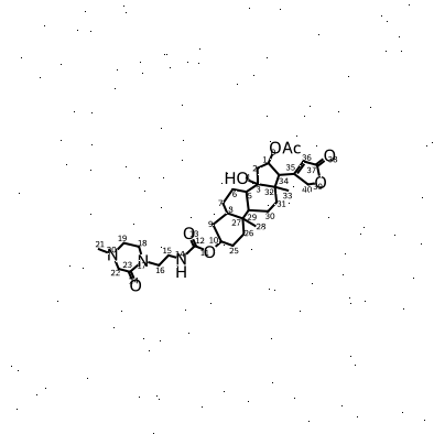 CC(=O)OC1CC2(O)C3CCC4CC(OC(=O)NCCN5CCN(C)CC5=O)CCC4(C)C3CCC2(C)C1C1=CC(=O)OC1